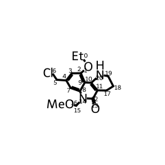 CCOc1cc(CCl)cc2c1c1c(c(=O)n2COC)CCCN1